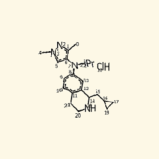 Cc1nn(C)cc1N(c1ccc2c(c1)C(CC1CC1)NCC2)C(C)C.Cl